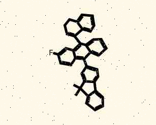 CC1(C)c2ccccc2-c2ccc(-c3c4ccccc4c(C4=CCCc5ccccc54)c4cc(F)ccc34)cc21